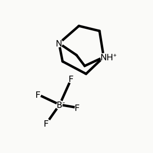 C1C[NH+]2CCN1CC2.F[B-](F)(F)F